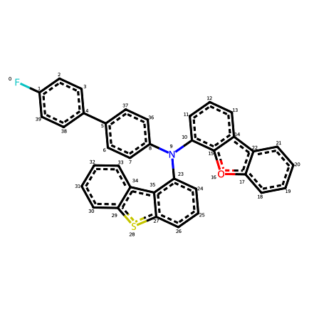 Fc1ccc(-c2ccc(N(c3cccc4c3oc3ccccc34)c3cccc4sc5ccccc5c34)cc2)cc1